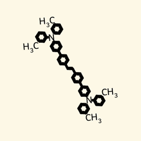 Cc1cccc(N(c2ccc(-c3ccc(/C=C/c4ccc(-c5ccc(N(c6cccc(C)c6)c6cccc(C)c6)cc5)cc4)cc3)cc2)c2cccc(C)c2)c1